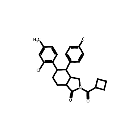 Cc1ccc(C2CCC3C(=O)N(C(=O)C4CCC4)CC3C2c2ccc(Cl)cc2)c(Cl)c1